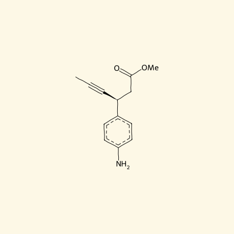 CC#C[C@@H](CC(=O)OC)c1ccc(N)cc1